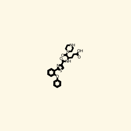 O=C(O)CCC(NC(=O)c1csc(-c2ccccc2Oc2ccccc2)n1)C(=O)N1CCNCC1